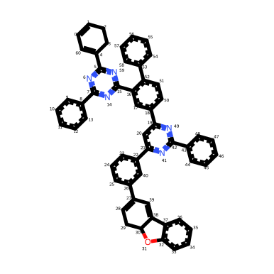 C1=CCCC(c2nc(-c3ccccc3)nc(-c3cc(-c4cc(-c5cccc(C6=CCC7Oc8ccccc8C7=C6)c5)nc(-c5ccccc5)n4)ccc3-c3ccccc3)n2)=C1